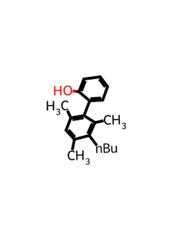 CCCCc1c(C)cc(C)c(-c2ccccc2O)c1C